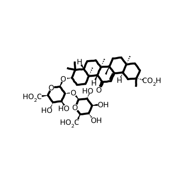 CC1(C)[C@@H](O[C@@H]2O[C@H](C(=O)O)[C@@H](O)[C@H](O)[C@H]2O[C@@H]2O[C@H](C(=O)O)[C@@H](O)[C@H](O)[C@H]2O)CC[C@]2(C)[C@H]3C(=O)C=C4[C@@H]5C[C@@](C)(C(=O)O)CC[C@]5(C)CC[C@@]4(C)[C@]3(C)CC[C@@H]12